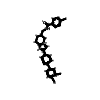 Cc1ccc(C(=O)NCC2CCc3nc(-c4ccc(-c5ccc(C)c(C)c5)cc4)cn3C2)cc1